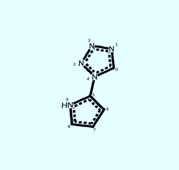 [c]1nnnn1-c1ccc[nH]1